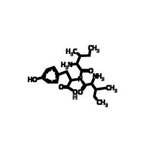 CCC(C)C(N)C(=O)N(C(=O)C(N)C(C)CC)C(Cc1ccc(O)cc1)C(=O)O